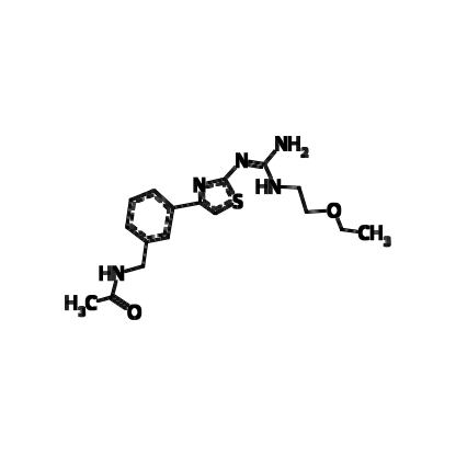 CCOCCNC(N)=Nc1nc(-c2cccc(CNC(C)=O)c2)cs1